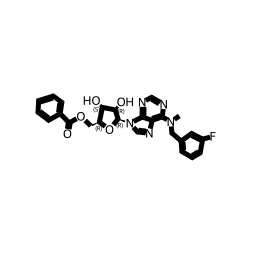 CN(Cc1cccc(F)c1)c1ncnc2c1ncn2[C@@H]1O[C@H](COC(=O)c2ccccc2)[C@@H](O)[C@H]1O